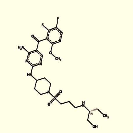 CC[C@H](CO)NCCCS(=O)(=O)N1CCC(Nc2ncc(C(=O)c3c(OC)ccc(F)c3F)c(N)n2)CC1